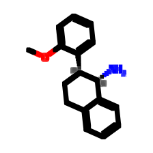 COc1ccccc1[C@H]1CCc2ccccc2[C@H]1N